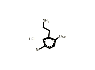 CSc1ccc(Br)cc1CCN.Cl